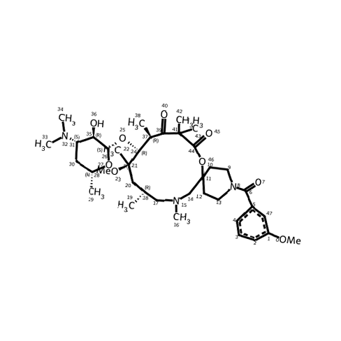 COc1cccc(C(=O)N2CCC3(CC2)CN(C)C[C@H](C)C[C@@](C)(OC)[C@H](O[C@@H]2O[C@H](C)C[C@H](N(C)C)[C@H]2O)[C@@H](C)C(=O)C(C)(C)C(=O)O3)c1